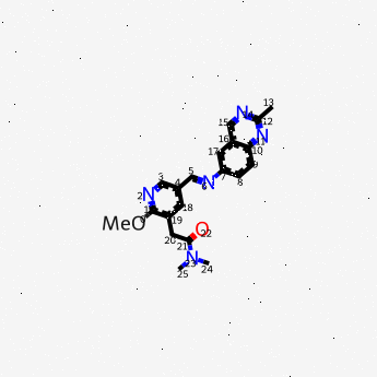 COc1ncc(C=Nc2ccc3nc(C)ncc3c2)cc1CC(=O)N(C)C